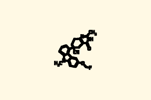 Cc1nc2c(c(=O)[nH]1)CC(C#N)(c1cccc3c1c1cc(OCF)ccc1n3C)CC2